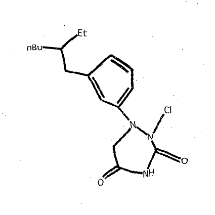 CCCCC(CC)Cc1cccc(N2CC(=O)NC(=O)N2Cl)c1